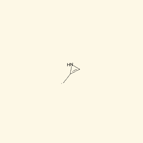 [CH2]C1=CN1